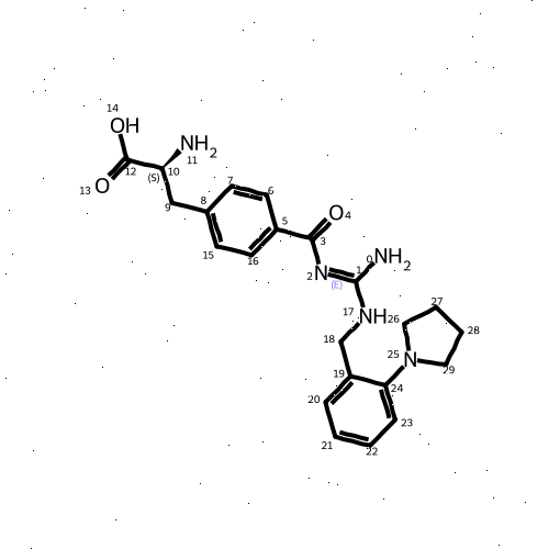 N/C(=N\C(=O)c1ccc(C[C@H](N)C(=O)O)cc1)NCc1ccccc1N1CCCC1